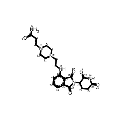 NC(=O)CCN1CCN(CCNc2cccc3c2C(=O)N(C2CCC(=O)NC2=O)C3=O)CC1